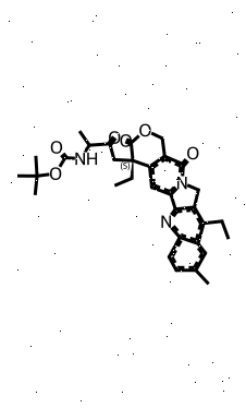 CCc1c2c(nc3ccc(C)cc13)-c1cc3c(c(=O)n1C2)COC(=O)[C@@]3(CC)CC(=O)C(C)NC(=O)OC(C)(C)C